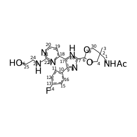 CC(=O)NCC1(C)COC(c2nc(-c3ccc(F)cc3)c(-c3ccnc(NCCO)n3)[nH]2)OC1